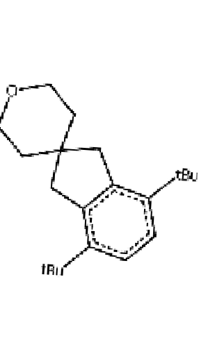 CC(C)(C)c1ccc(C(C)(C)C)c2c1CC1(CCOCC1)C2